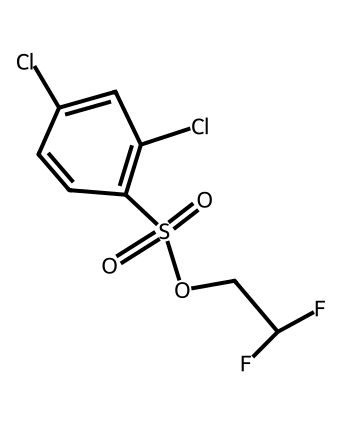 O=S(=O)(OCC(F)F)c1ccc(Cl)cc1Cl